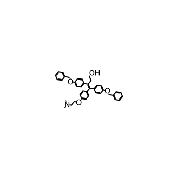 CN(C)CCOc1ccc(C(=C(CCO)c2ccc(OCc3ccccc3)cc2)c2ccc(OCc3ccccc3)cc2)cc1